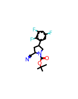 CC(C)(C)OC(=O)N1CC(c2cc(F)cc(F)c2F)CC1C#N